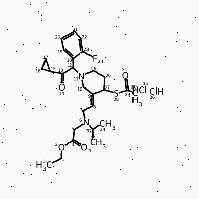 CCOC(=O)CN(C/C=C1\CN(C(C(=O)C2CC2)c2ccccc2F)CCC1SC(C)=O)C(C)C.Cl.Cl